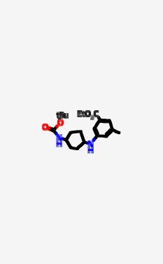 CCOC(=O)c1cc(C)cc(NC2CCC(NC(=O)OC(C)(C)C)CC2)c1